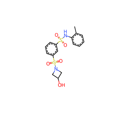 Cc1ccccc1NS(=O)(=O)c1cccc(S(=O)(=O)N2CC(O)C2)c1